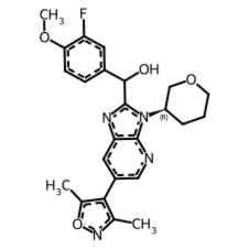 COc1ccc(C(O)c2nc3cc(-c4c(C)noc4C)cnc3n2[C@@H]2CCCOC2)cc1F